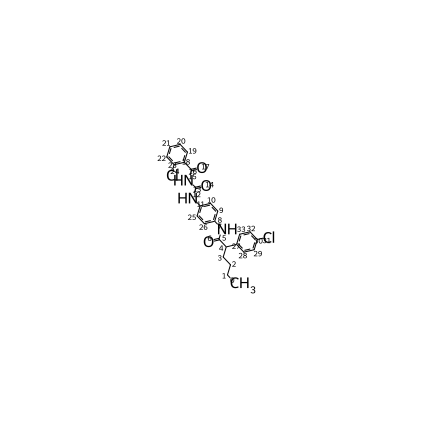 CCCCC(C(=O)Nc1ccc(NC(=O)NC(=O)c2ccccc2Cl)cc1)c1ccc(Cl)cc1